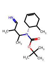 CC(C=N)C(C)N(C(=O)OC(C)(C)C)[C@@H]1CC=CCC1C